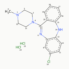 CN1CCN(C2=Nc3cc(Cl)ccc3Nc3ccccc32)CC1.Cl.Cl